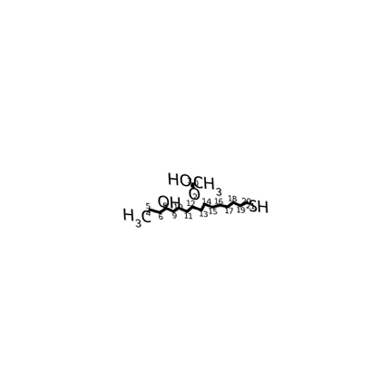 CC(=O)O.CCCC(O)CCCCCCCCCCCCS